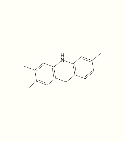 Cc1ccc2c(c1)Nc1cc(C)c(C)cc1C2